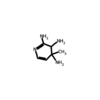 CC1(N)C=CN=C(N)C1N